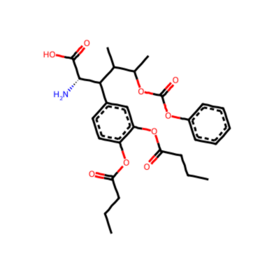 CCCC(=O)Oc1ccc(C(C(C)C(C)OC(=O)Oc2ccccc2)[C@H](N)C(=O)O)cc1OC(=O)CCC